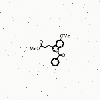 COC(=O)CCc1cn(C(=O)c2ccccc2)c2ccc(OC)cc12